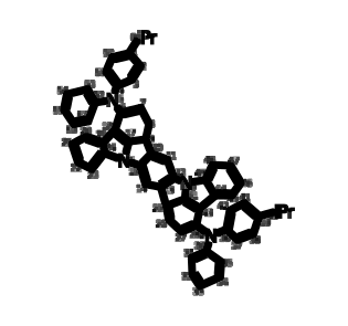 CC(C)c1ccc(N(C2=CCC3c4cc5c(cc4-n4c3c2c2ccccc24)c2ccc(N(c3ccccc3)c3ccc(C(C)C)cc3)c3c4ccccc4n5c23)c2ccccc2)cc1